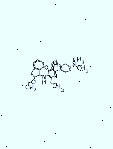 CCO[C@H]1Cc2ccccc2[C@H]1Nc1c(CC)nc(-c2ccc(N(C)C)cc2Cl)n(C)c1=O